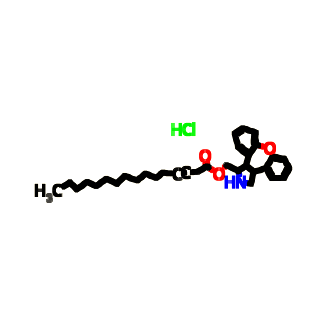 CCCCCCCCCCCCCCCC(=O)OCC1NCC2c3ccccc3Oc3ccccc3C12.Cl